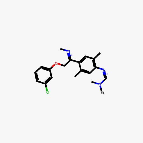 CCN(C)/C=N\c1cc(C)c(/C(COc2cccc(Cl)c2)=N/C)cc1C